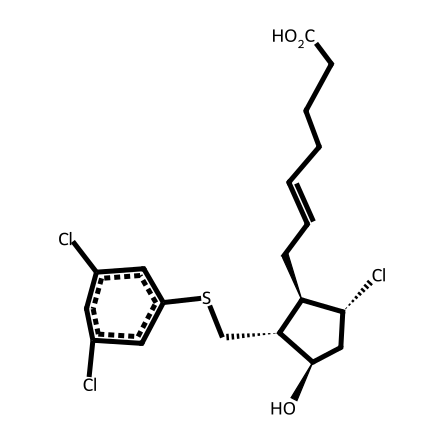 O=C(O)CCCC=CC[C@@H]1[C@@H](CSc2cc(Cl)cc(Cl)c2)[C@H](O)C[C@H]1Cl